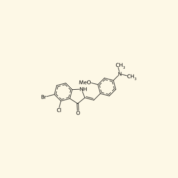 COc1cc(N(C)C)ccc1/C=C1\Nc2ccc(Br)c(Cl)c2C1=O